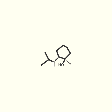 CC(C)N[C@H]1CCCC[C@@]1(C)O